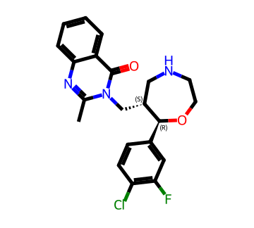 Cc1nc2ccccc2c(=O)n1C[C@@H]1CNCCO[C@H]1c1ccc(Cl)c(F)c1